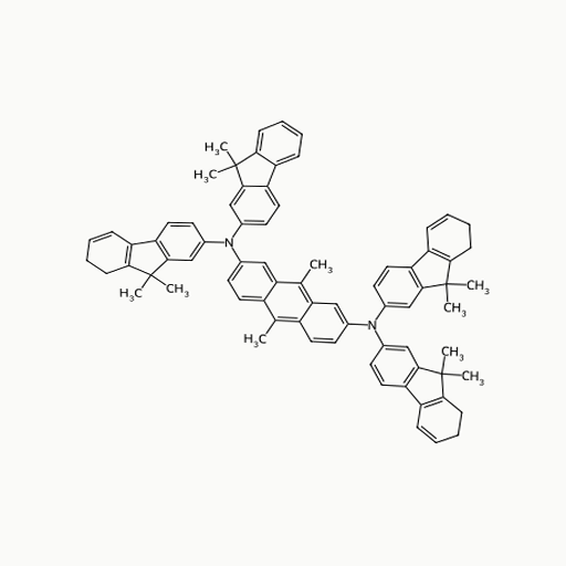 Cc1c2ccc(N(c3ccc4c(c3)C(C)(C)C3=C4C=CCC3)c3ccc4c(c3)C(C)(C)C3=C4C=CCC3)cc2c(C)c2cc(N(c3ccc4c(c3)C(C)(C)C3=C4C=CCC3)c3ccc4c(c3)C(C)(C)c3ccccc3-4)ccc12